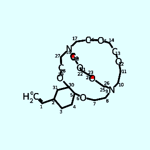 C=CC1CCC2OCCN3CCOCCOCCN(CCOCCOCC3)CCOC2C1